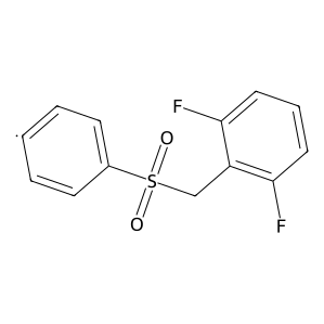 O=S(=O)(Cc1c(F)cccc1F)c1cc[c]cc1